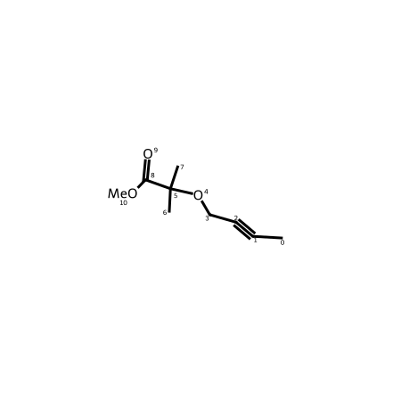 CC#CCOC(C)(C)C(=O)OC